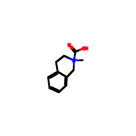 C[N+]1(C(=O)O)CCc2ccccc2C1